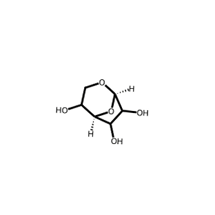 OC1C(O)[C@@H]2O[C@H]1OCC2O